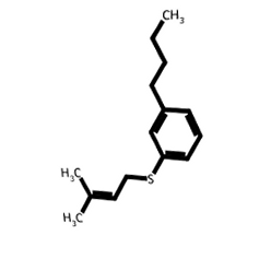 CCCCc1cccc(SCC=C(C)C)c1